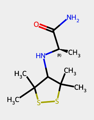 C[C@@H](NC1C(C)(C)SSC1(C)C)C(N)=O